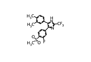 Cc1ccc(-c2[nH]c(C(F)(F)F)nc2-c2ccc(S(C)(=O)=O)c(F)c2)cc1C